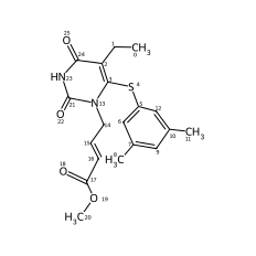 CCc1c(Sc2cc(C)cc(C)c2)n(CC=CC(=O)OC)c(=O)[nH]c1=O